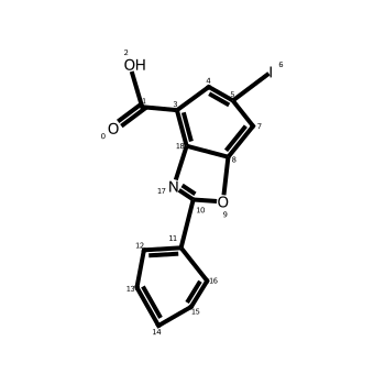 O=C(O)c1cc(I)cc2oc(-c3ccccc3)nc12